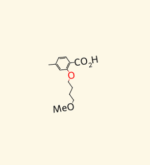 COCCCCOc1cc(C)ccc1C(=O)O